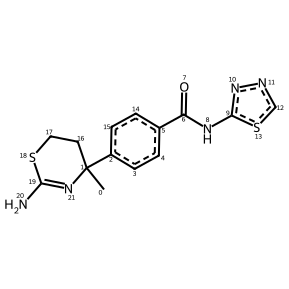 CC1(c2ccc(C(=O)Nc3nncs3)cc2)CCSC(N)=N1